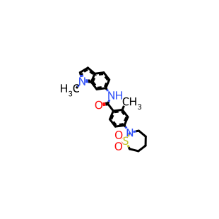 Cc1cc(N2CCCCCS2(=O)=O)ccc1C(=O)Nc1ccc2ccn(C)c2c1